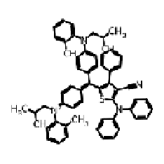 Cc1ccccc1N(CC(C)C)c1ccc(C(=C2C=CC(=[N+](CC(C)C)c3ccccc3C)C=C2)c2sc(N(c3ccccc3)c3ccccc3)c(C#N)c2-c2ccccc2)cc1